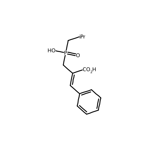 CC(C)CP(=O)(O)C/C(=C/c1ccccc1)C(=O)O